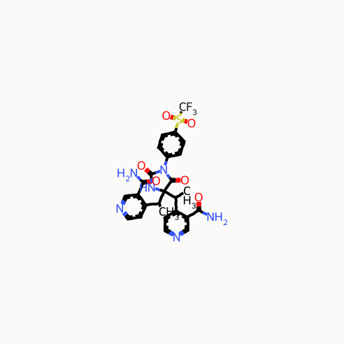 CC(c1ccncc1C(N)=O)C1(C(C)c2ccncc2C(N)=O)NC(=O)N(c2ccc(S(=O)(=O)C(F)(F)F)cc2)C1=O